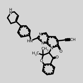 C#Cc1cc2cnc(Nc3ccc(C4=CCNCC4)cc3)nc2n(C2C(=O)c3ccccc3OC2(C)C)c1=O